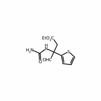 CCOC(=O)CC([C]=O)(NC(N)=O)c1cccs1